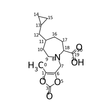 Cc1oc(=O)oc1CN1CCC(CC2CC2)CCC1C(=O)O